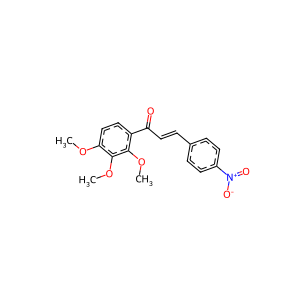 COc1ccc(C(=O)/C=C/c2ccc([N+](=O)[O-])cc2)c(OC)c1OC